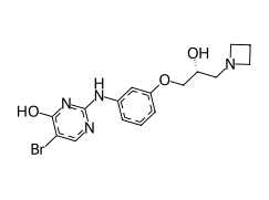 Oc1nc(Nc2cccc(OC[C@H](O)CN3CCC3)c2)ncc1Br